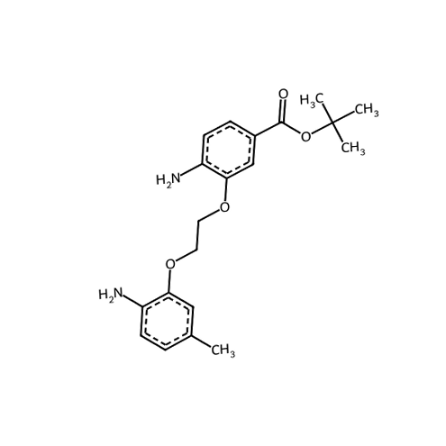 Cc1ccc(N)c(OCCOc2cc(C(=O)OC(C)(C)C)ccc2N)c1